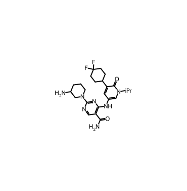 CC(C)n1cc(Nc2nc(N3CCCC(N)C3)ncc2C(N)=O)cc(C2CCC(F)(F)CC2)c1=O